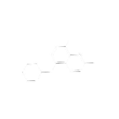 Fc1ccc(OC2CCCCO2)c2ccc(Cl)nc12